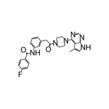 Cc1c[nH]c2ncnc(N3CCN(C(=O)Cc4cccc(NC(=O)c5ccc(F)cc5)c4)CC3)c12